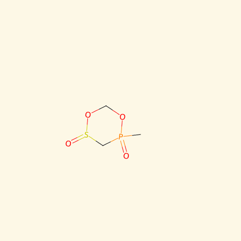 CP1(=O)CS(=O)OCO1